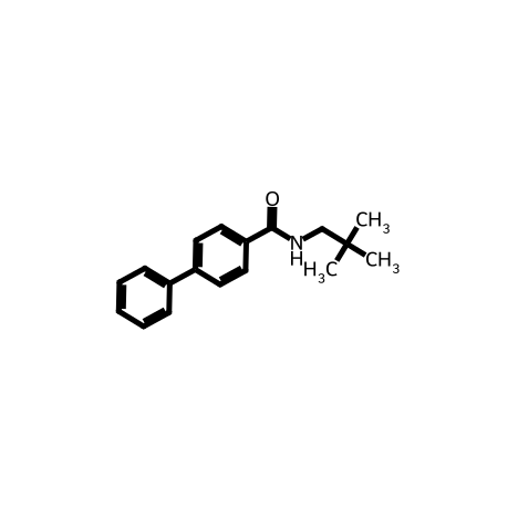 CC(C)(C)CNC(=O)c1ccc(-c2ccccc2)cc1